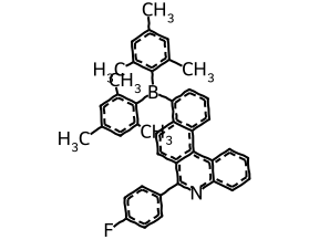 Cc1cc(C)c(B(c2c(C)cc(C)cc2C)c2cccc3c2ccc2c(-c4ccc(F)cc4)nc4ccccc4c23)c(C)c1